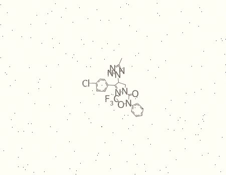 Cc1nnn(C2CN(C(=O)N(OC(F)(F)F)c3ccccc3)N=C2c2ccc(Cl)cc2)n1